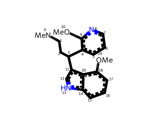 CNCCC(c1cccnc1OC)c1c[nH]c2cccc(OC)c12